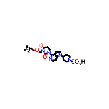 C[Si](C)(C)CCOCN1C(=O)CCN(c2nccc3c2ccn3C2CCN(C(=O)O)CC2)C1=O